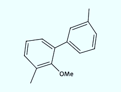 COc1c(C)cccc1-c1cccc(C)c1